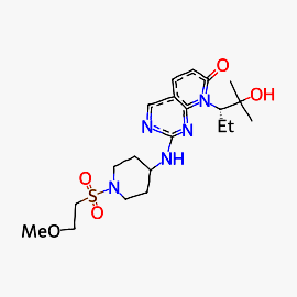 CC[C@H](n1c(=O)ccc2cnc(NC3CCN(S(=O)(=O)CCOC)CC3)nc21)C(C)(C)O